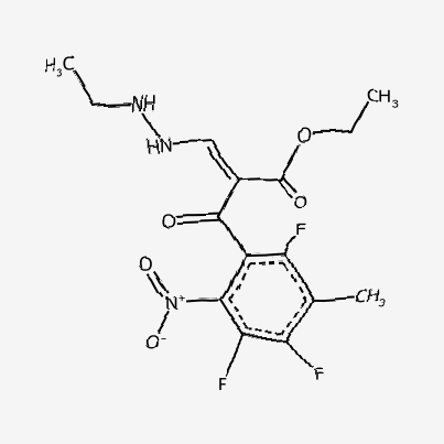 CCNN/C=C(/C(=O)OCC)C(=O)c1c(F)c(C)c(F)c(F)c1[N+](=O)[O-]